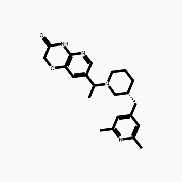 Cc1cc(C[C@H]2CCCN(C(C)c3cnc4c(c3)OCC(=O)N4)C2)cc(C)n1